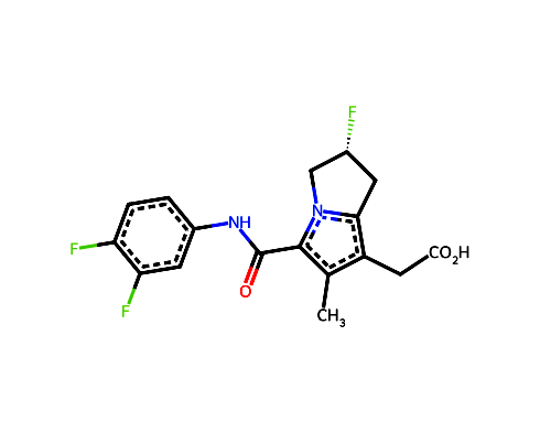 Cc1c(CC(=O)O)c2n(c1C(=O)Nc1ccc(F)c(F)c1)C[C@H](F)C2